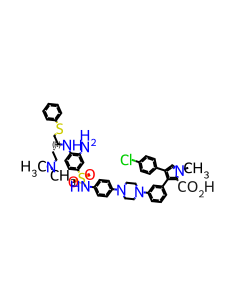 CN(C)CC[C@H](CSc1ccccc1)Nc1ccc(S(=O)(=O)Nc2ccc(N3CCN(c4cccc(-c5c(-c6ccc(Cl)cc6)cn(C)c5C(=O)O)c4)CC3)cc2)cc1N